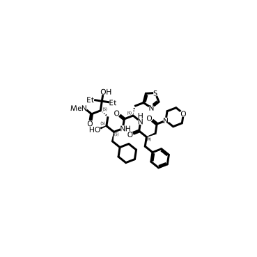 CCC(O)(CC)[C@H](C[C@H](O)[C@H](CC1CCCCC1)NC(=O)[C@H](Cc1cscn1)NC(=O)[C@@H](CC(=O)N1CCOCC1)Cc1ccccc1)C(=O)NC